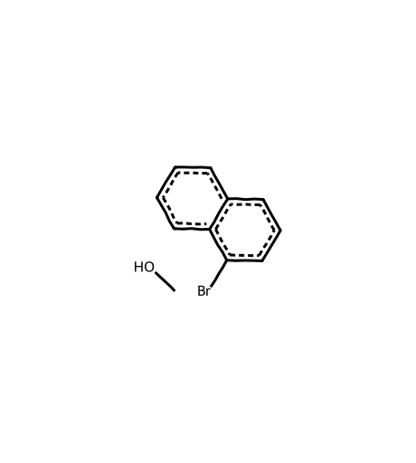 Brc1cccc2ccccc12.CO